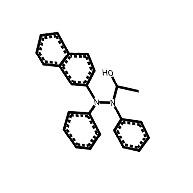 CC(O)N(c1ccccc1)N(c1ccccc1)c1ccc2ccccc2c1